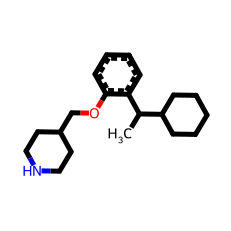 CC(c1ccccc1OCC1CCNCC1)C1CCCCC1